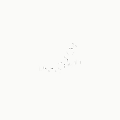 CCN(C)C=Nc1cc(C)c(S(=O)(CC(C)C)=Nc2ccc(N(C)C)cc2)cc1Cl